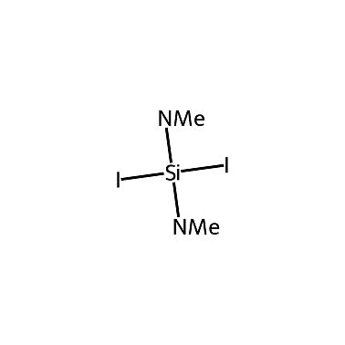 CN[Si](I)(I)NC